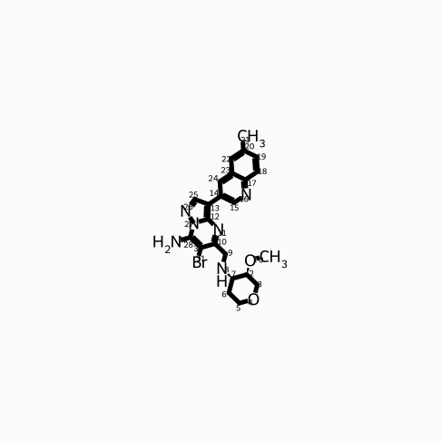 CO[C@@H]1COCC[C@@H]1NCc1nc2c(-c3cnc4ccc(C)cc4c3)cnn2c(N)c1Br